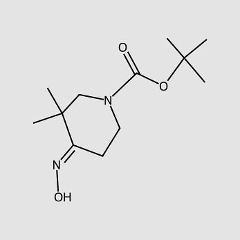 CC(C)(C)OC(=O)N1CC/C(=N\O)C(C)(C)C1